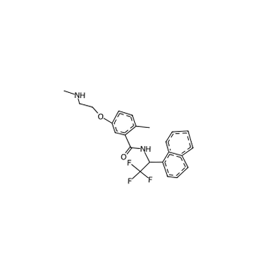 CNCCOc1ccc(C)c(C(=O)NC(c2cccc3ccccc23)C(F)(F)F)c1